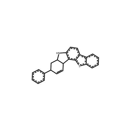 C1=CC2c3c(ccc4c3sc3ccccc34)NC2CC1c1ccccc1